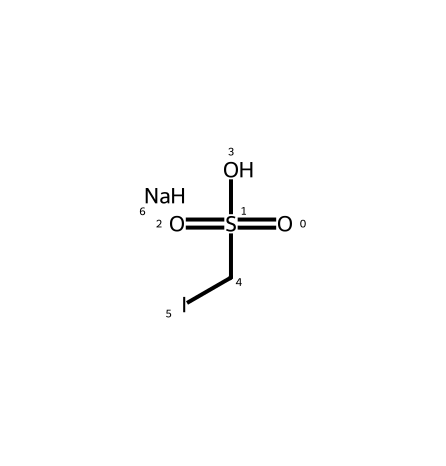 O=S(=O)(O)CI.[NaH]